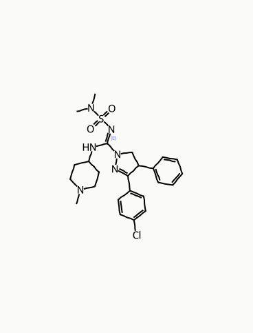 CN1CCC(N/C(=N\S(=O)(=O)N(C)C)N2CC(c3ccccc3)C(c3ccc(Cl)cc3)=N2)CC1